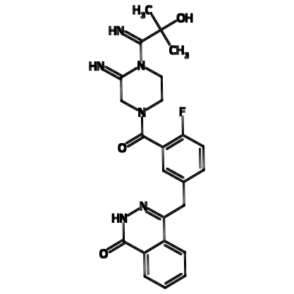 CC(C)(O)C(=N)N1CCN(C(=O)c2cc(Cc3n[nH]c(=O)c4ccccc34)ccc2F)CC1=N